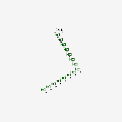 Cl.Cl.Cl.Cl.Cl.Cl.Cl.Cl.Cl.Cl.Cl.Cl.Cl.Cl.Cl.[CaH2]